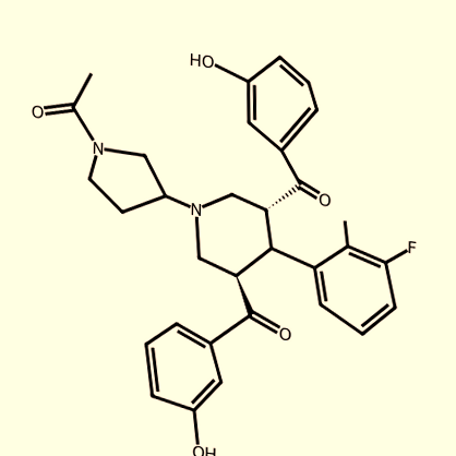 CC(=O)N1CCC(N2C[C@H](C(=O)c3cccc(O)c3)C(c3cccc(F)c3C)[C@@H](C(=O)c3cccc(O)c3)C2)C1